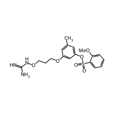 COc1ccccc1S(=O)(=O)Oc1cc(C)cc(OCCCONC(=N)N)c1